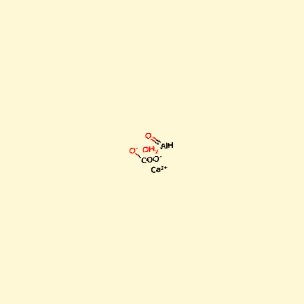 O.O=C([O-])[O-].[Ca+2].[O]=[AlH]